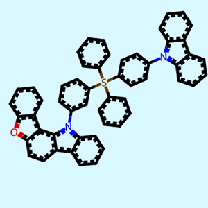 c1ccc(S(c2ccccc2)(c2ccc(-n3c4ccccc4c4ccccc43)cc2)c2cccc(-n3c4ccccc4c4ccc5oc6ccccc6c5c43)c2)cc1